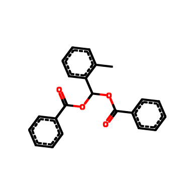 Cc1ccccc1C(OC(=O)c1ccccc1)OC(=O)c1ccccc1